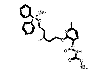 Cc1ccc([S+]([O-])NC(=O)OC(C)(C)C)c(OCC[C@H](C)CCO[Si](c2ccccc2)(c2ccccc2)C(C)(C)C)n1